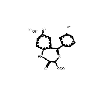 O=C([O-])C1N=C(c2ccccc2)c2cc(Cl)ccc2NC1=O.[K+].[K+].[OH-]